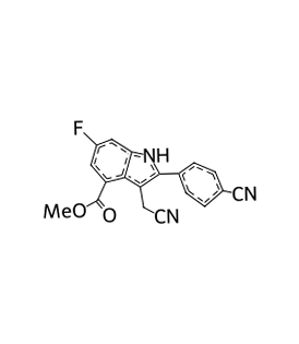 COC(=O)c1cc(F)cc2[nH]c(-c3ccc(C#N)cc3)c(CC#N)c12